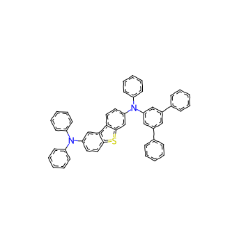 c1ccc(-c2cc(-c3ccccc3)cc(N(c3ccccc3)c3ccc4c(c3)sc3ccc(N(c5ccccc5)c5ccccc5)cc34)c2)cc1